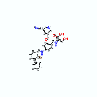 N#Cc1cncc(COc2cc(NCc3cccc(-c4ccccc4)c3Br)ccc2CN[C@H](CO)C(=O)O)c1